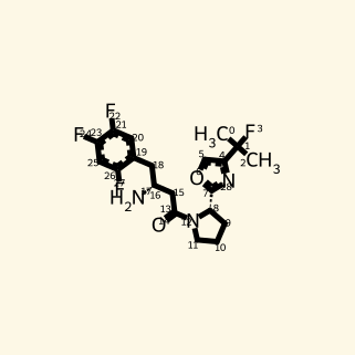 CC(C)(F)c1coc([C@@H]2CCCN2C(=O)C[C@H](N)Cc2cc(F)c(F)cc2F)n1